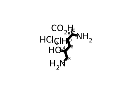 Cl.Cl.NCC(O)CC[C@H](N)C(=O)O